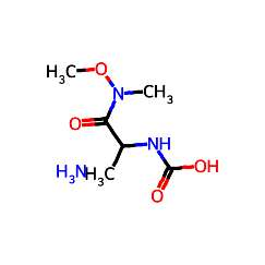 CON(C)C(=O)C(C)NC(=O)O.N